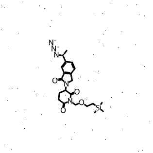 CC(N=[N+]=[N-])c1ccc2c(c1)C(=O)N(C1CCC(=O)N(COCC[Si](C)(C)C)C1=O)C2